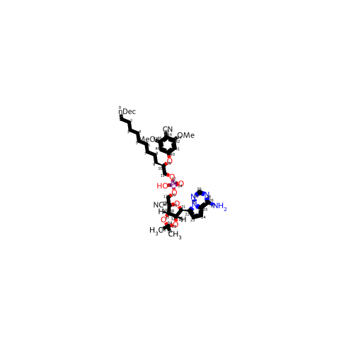 CCCCCCCCCCCCCCCCCCC[C@H](COP(=O)(O)OC[C@@]1(C#N)O[C@@H](c2ccc3c(N)ncnn23)[C@@H]2OC(C)(C)O[C@@H]21)Oc1cc(OC)c(C#N)c(OC)c1